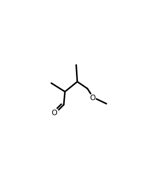 COCC(C)C(C)C=O